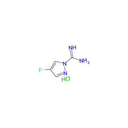 Cl.N=C(N)n1cc(F)cn1